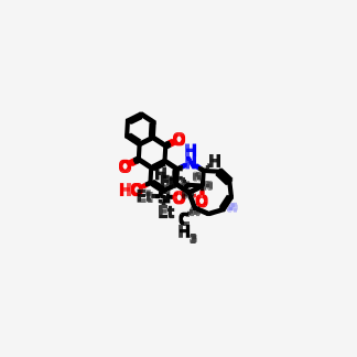 CC[Si](CC)(CC)O[C@H](C)[C@@]12O[C@]13c1cc(O)c4c(c1N[C@H]2C#C/C=C\C[C@@H]3C)C(=O)c1ccccc1C4=O